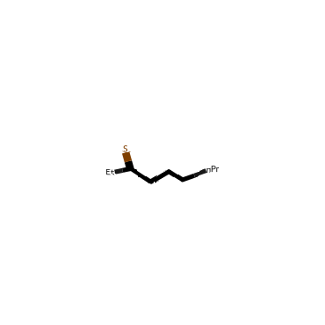 [CH2]CC(=S)CCCCCC